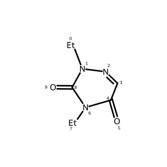 CCn1ncc(=O)n(CC)c1=O